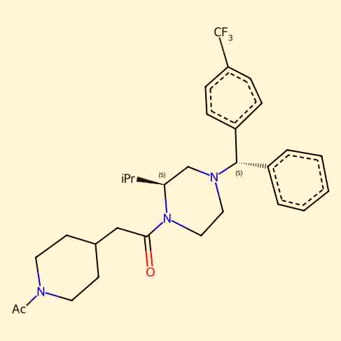 CC(=O)N1CCC(CC(=O)N2CCN([C@@H](c3ccccc3)c3ccc(C(F)(F)F)cc3)C[C@@H]2C(C)C)CC1